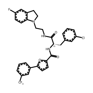 O=C(N[C@@H](Cc1cccc(Cl)c1)C(=O)NCCN1CCc2cc(F)ccc21)c1ccc(-c2cccc(C(F)(F)F)c2)o1